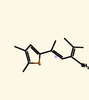 BC(/C=C(\C)c1cc(C)c(C)s1)=C(C)C